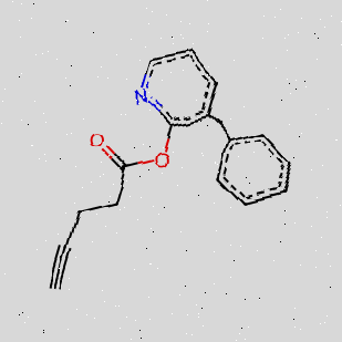 C#CCCC(=O)Oc1ncccc1-c1ccccc1